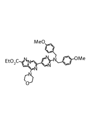 CCOC(=O)c1cc2c(N3CCOCC3)nc(-c3cnc(N(Cc4ccc(OC)cc4)Cc4ccc(OC)cc4)nc3)cn2n1